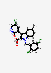 CCc1ccc2c(c1)c1c3cc(Cl)cnc3oc(=O)c1n2Cc1cc(F)ccc1F